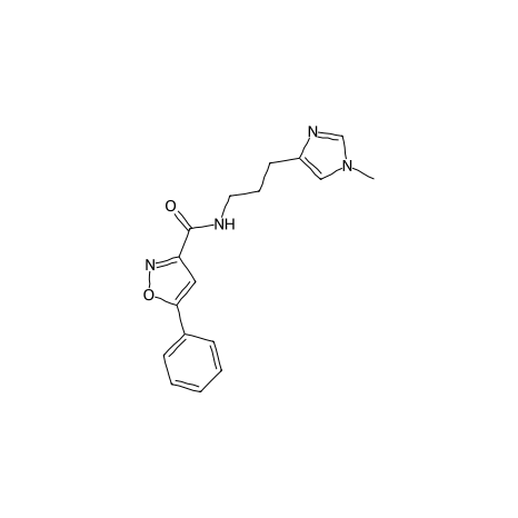 Cn1cnc(CCCNC(=O)c2cc(-c3ccccc3)on2)c1